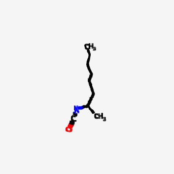 CCCCCC[C@@H](C)N=C=O